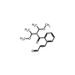 COC(C)N(C(=O)c1ccccc1/C=C/[C]=O)C(C)OC